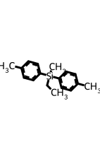 CC[Si](C)(c1ccc(C)cc1)c1ccc(C)cc1